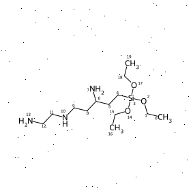 CCO[Si](CCC(N)CCNCCN)(OCC)OCC